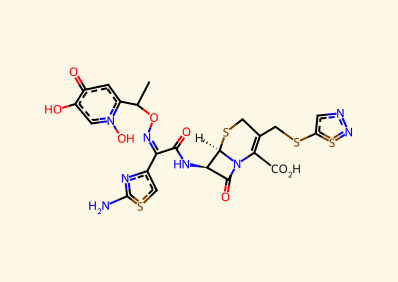 CC(O/N=C(\C(=O)N[C@@H]1C(=O)N2C(C(=O)O)=C(CSc3cnns3)CS[C@H]12)c1csc(N)n1)c1cc(=O)c(O)cn1O